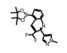 Cn1cc(-c2nc3cccc(B4OC(C)(C)C(C)(C)O4)c3cc2C(F)F)cn1